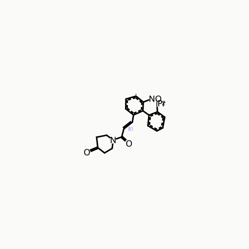 CC(C)c1ccccc1-c1c([N+](=O)[O-])[c]ccc1/C=C/C(=O)N1CCC(=O)CC1